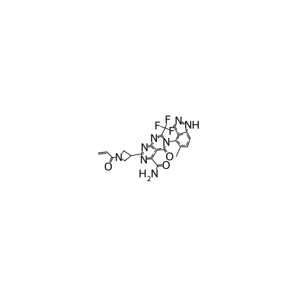 C=CC(=O)N1CC(c2nc(C(N)=O)c3c(=O)n(-c4c(C)ccc5[nH]ncc45)c(C(F)(F)F)nc3n2)C1